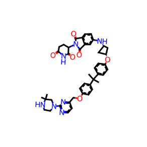 CC1(C)CN(c2nccc(COc3ccc(C(C)(C)c4ccc(O[C@H]5C[C@@H](Nc6ccc7c(c6)C(=O)N(C6CCC(=O)NC6=O)C7=O)C5)cc4)cc3)n2)CCN1